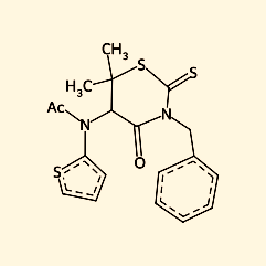 CC(=O)N(c1cccs1)C1C(=O)N(Cc2ccccc2)C(=S)SC1(C)C